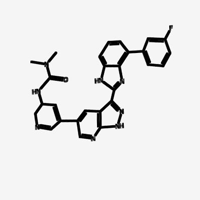 CN(C)C(=O)NC1C=C(c2cnc3[nH]nc(-c4nc5c(-c6cccc(F)c6)cccc5[nH]4)c3c2)C=NC1